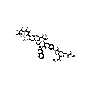 CC[C@H](C)C([C@@H](CC(=O)N1CCC[C@H]1[C@H](OC)[C@@H](C)C(=O)NC(Cc1ccc(NC(=O)C(CCCNC(N)=O)NC(=O)[C@H](N)C(C)C)cc1)C(=O)Nc1cnc2ccccc2c1)OC)N(C)C(=O)C(NC(=O)[C@@H](C(C)C)N(C)C)C(C)C